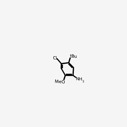 COc1cc(Cl)c(C(C)(C)C)cc1N